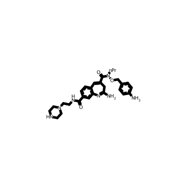 CCCN(OCc1ccc(N)cc1)C(=O)C1=Cc2ccc(C(=O)NCCN3CCNCC3)cc2N=C(N)C1